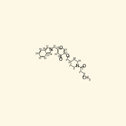 CCCC(=O)N1CCC(COc2coc(Cn3cc4ccccc4c3)cc2=O)CC1